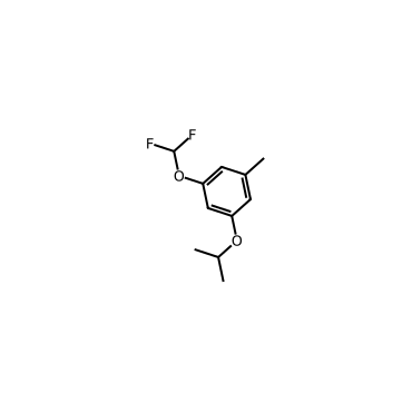 Cc1cc(OC(C)C)cc(OC(F)F)c1